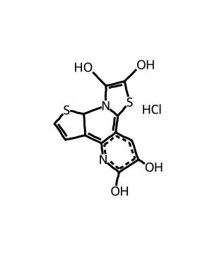 Cl.OC1=C(O)N2C(=c3cc(O)c(O)nc3=C3C=CSC32)S1